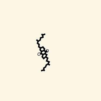 CC(C)CCCC(C)CCCC1CCC2C(=O)C3CC(CCCC(C)CCCC(C)C)CCC3C(=O)C2C1